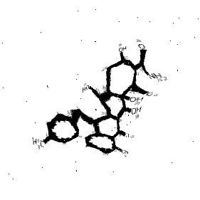 Cc1ccc(/C=C2\c3cccc(O)c3C(=O)C3=C(O)C4(O)C(=O)C(C(N)=O)=C(O)CC4C(O)C32)cc1